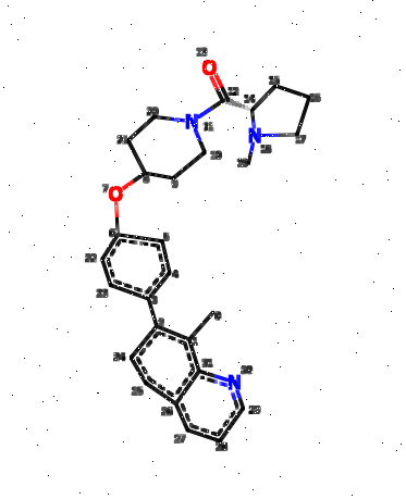 Cc1c(-c2ccc(OC3CCN(C(=O)[C@@H]4CCCN4C)CC3)cc2)ccc2cccnc12